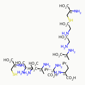 CC(C)C[C@H](N)C(=O)O.CC(C)[C@H](N)C(=O)O.C[C@H](N)C(=O)O.C[C@H](N)C(=O)O.NCC(=O)O.NCC(=O)O.NCC(=O)O.NCC(=O)O.N[C@@H](CS)C(=O)O.N[C@@H](CS)C(=O)O